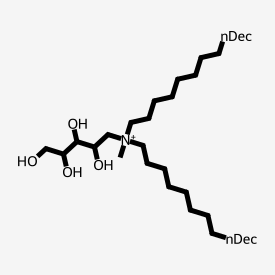 CCCCCCCCCCCCCCCCCC[N+](C)(CCCCCCCCCCCCCCCCCC)CC(O)C(O)C(O)CO